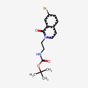 CC(C)(C)OC(=O)NCCn1ccc2ccc(Br)cc2c1=O